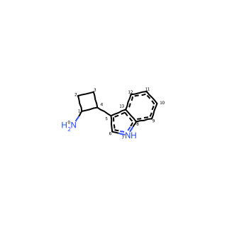 NC1CCC1c1c[nH]c2ccccc12